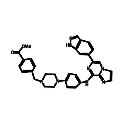 COC(=O)c1ccc(CN2CCN(c3ccc(Nc4nc(-c5ccc6cn[nH]c6c5)cn5ccnc45)cc3)CC2)cc1